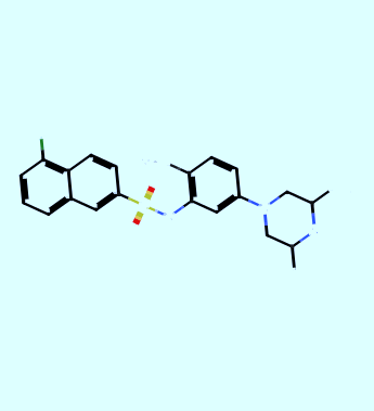 COc1ccc(N2CC(C)NC(C)C2)cc1NS(=O)(=O)c1ccc2c(Cl)cccc2c1